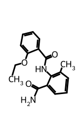 CCOc1ccccc1C(=O)Nc1c(C)cccc1C(N)=O